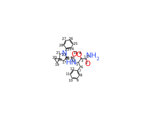 NC(=O)C(=O)C(Cc1ccccc1)NC(=O)[C@@H]1CC2(CC2)CN1c1ccccc1